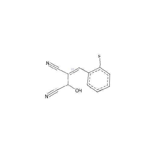 N#C/C(=C/c1ccccc1F)C(O)C#N